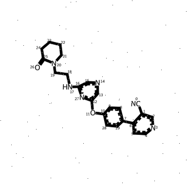 N#Cc1cnccc1-c1ccc(Oc2cncc(NCCN3CCCCC3=O)n2)cc1